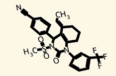 CC=C1CCCC2=C1C(c1ccc(C#N)cc1)N(S(C)(=O)=O)C(=O)N2c1cccc(C(F)(F)F)c1